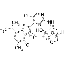 Cc1c(-c2nc(N[C@@H]3C[C@H]4CO[C@H](O4)[C@H]3O)ncc2Cl)sc2c(C(C)C)cn(C)c(=O)c12